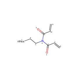 C=CC(=O)N(CCCCCCCC)C(=O)C=C